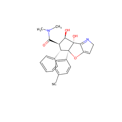 CN(C)C(=O)[C@H]1[C@@H](O)[C@@]2(O)C3=NCC=C3O[C@@]2(c2ccc(C#N)cc2)[C@@H]1c1ccccc1